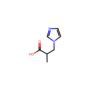 CC(Cn1ccnc1)C(=O)O